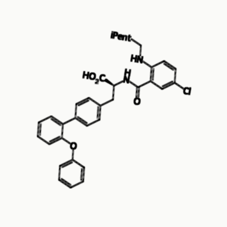 CCCC(C)CNc1ccc(Cl)cc1C(=O)N[C@@H](Cc1ccc(-c2ccccc2Oc2ccccc2)cc1)C(=O)O